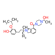 CC(C)COc1cc(CCC(C)(C)N2Cc3cccc(C(=O)N4CCN(C(C)O)CC4)c3C2)ccc1O